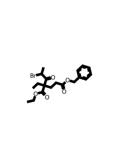 CCOC(=O)C(CC)(CCC(=O)OCc1ccccc1)C(=O)C(C)Br